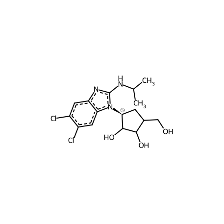 CC(C)Nc1nc2cc(Cl)c(Cl)cc2n1[C@H]1CC(CO)C(O)C1O